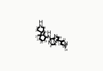 CC1C(Nc2nccn3c(-c4cnn(C)c4)cnc23)=CC=CC1(C)C1CCNCC1